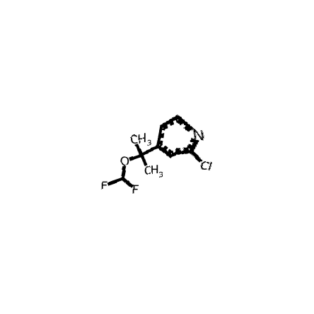 CC(C)(OC(F)F)c1ccnc(Cl)c1